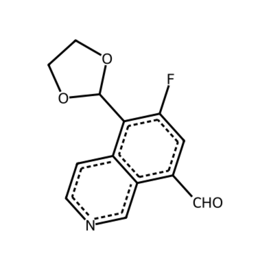 O=Cc1cc(F)c(C2OCCO2)c2ccncc12